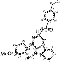 CCCn1c2ccccc2c2cc(NC(=O)c3ccc(CCl)cc3)nc(-c3ccc(OC)cc3)c21